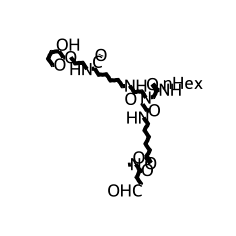 CCCCCCNC(=O)CN(CC(=O)NCCCCCC(=O)ON(C)C(=O)CCC=O)CC(=O)NCCCCCC(=C=O)NCCOC1OCCCC1O